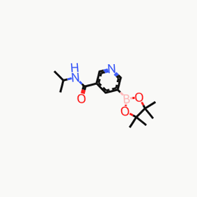 CC(C)NC(=O)c1cncc(B2OC(C)(C)C(C)(C)O2)c1